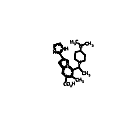 Cc1c(C(=O)O)cc2cc(-c3ncc[nH]3)cn2c1C(C)N1CCC(N(C)C)CC1